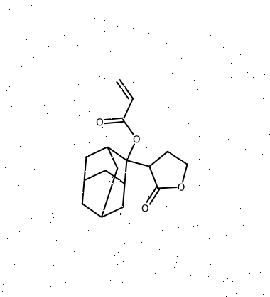 C=CC(=O)OC1(C2CCOC2=O)C2CC3CC(C2)CC1C3